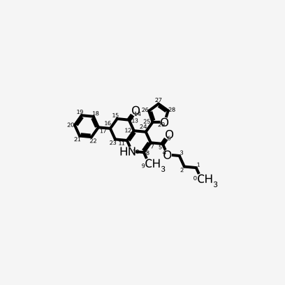 CCCCOC(=O)C1=C(C)NC2=C(C(=O)CC(c3ccccc3)C2)C1c1ccco1